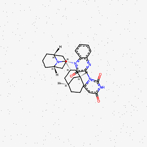 O=c1ccn(-c2nc3ccccc3n([C@H]3C[C@H]4CCC[C@@H](C3)N4C[C@H]3C[C@@H]4CCC[C@@H](C4)C3)c2=O)c(=O)[nH]1